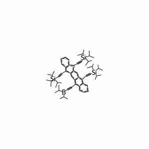 CC(C)B(C#Cc1c2ccccc2c(C#C[Si](C(C)C)(C(C)C)C(C)C)c2cc3c(C#C[Si](C(C)C)(C(C)C)C(C)C)c4ccccc4c(C#C[Si](C(C)C)(C(C)C)C(C)C)c3cc12)C(C)C